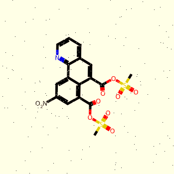 CS(=O)(=O)OC(=O)c1cc([N+](=O)[O-])cc2c1c(C(=O)OS(C)(=O)=O)cc1cccnc12